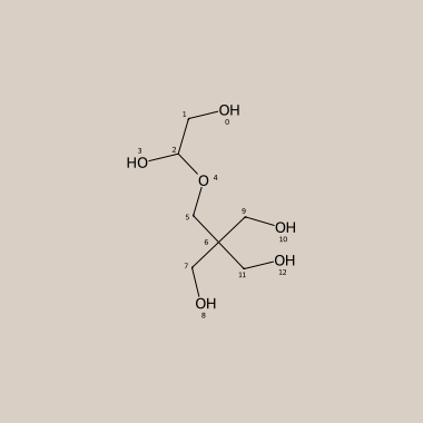 OCC(O)OCC(CO)(CO)CO